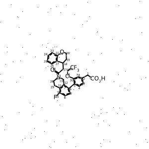 O=C(O)Cc1ccc(-c2ccc(F)c3c2CN(C(=O)CC2CCOc4ccccc42)CC3)c(OCC(F)(F)F)c1